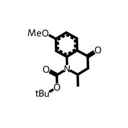 COc1ccc2c(c1)N(C(=O)OC(C)(C)C)C(C)CC2=O